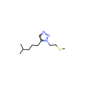 CSCCn1nncc1CCCC(C)C